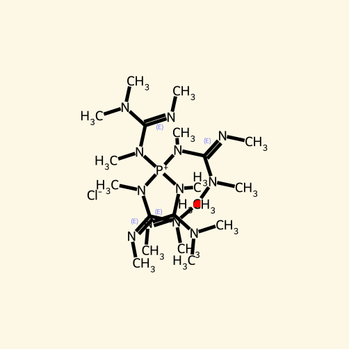 C/N=C(\N(C)C)N(C)[P+](N(C)/C(=N/C)N(C)C)(N(C)/C(=N/C)N(C)C)N(C)/C(=N/C)N(C)C.[Cl-]